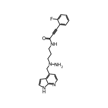 NN(CCCNC(=O)C#Cc1ccccc1F)Cc1ccnc2[nH]ccc12